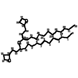 CCCCCCCCCCCCC(CCC1CCO1)OC(CCCCCCCCCCCC)CCC1CCO1